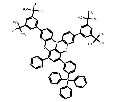 CC(C)(C)c1cc(-c2ccc3c(c2)Oc2c(-c4cccc([Si](c5ccccc5)(c5ccccc5)c5ccccc5)c4)cc(-c4ccccn4)c4c2B3c2ccc(-c3cc(C(C)(C)C)cc(C(C)(C)C)c3)cc2O4)cc(C(C)(C)C)c1